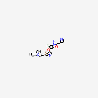 CCN(CC)CC#Cc1cc2nccc(Oc3ccc(NC(=O)CCc4cccnc4)cc3F)c2s1